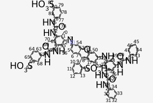 Cc1c(/N=c2\ccc3c(-c4ccccc4S(=O)(=O)O)c4ccc(Nc5c(C)c(NC(=O)Nc6ccccc6)c(C)c(NC(=O)Nc6ccccc6)c5C)cc4oc-3c2)c(C)c(NC(=O)Nc2cccc(S(=O)(=O)O)c2)c(C)c1NC(=O)Nc1cccc(S(=O)(=O)O)c1